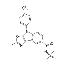 Cc1nc2c3cc(C(=O)N=S(C)(C)=O)ccc3n(-c3ccc(C(F)(F)F)cc3)c2s1